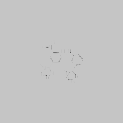 Cn1nnnc1-c1cccc(N)c1.Cn1nnnc1-c1cccc([N+](=O)[O-])c1